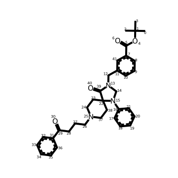 CC(C)(C)OC(=O)c1cccc(CN2CN(c3ccccc3)C3(CCN(CCCC(=O)c4ccccc4)CC3)C2=O)c1